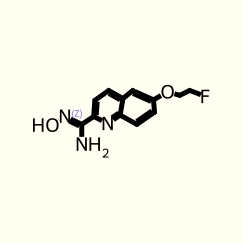 N/C(=N\O)c1ccc2cc(OCCF)ccc2n1